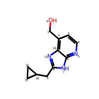 OCc1ccnc2[nH]c(CC3CC3)nc12